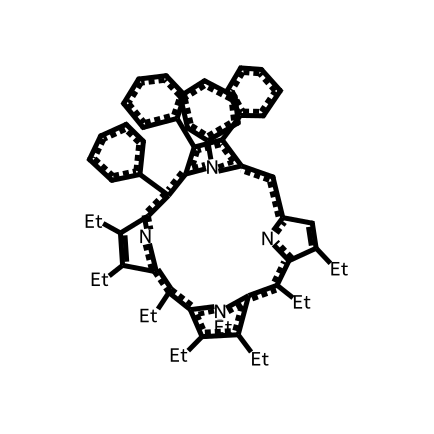 CCC1=Cc2cc3c(-c4ccccc4)c(-c4ccccc4)c(c(-c4ccccc4)c4nc(c(CC)c5c(CC)c(CC)c(c(CC)c1n2)n5CC)C(CC)=C4CC)n3-c1ccccc1